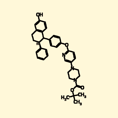 CC(C)(C)OC(=O)N1CCN(c2ccc(Oc3ccc(C4c5ccc(O)cc5CC[C@@H]4c4ccccc4)cc3)nc2)CC1